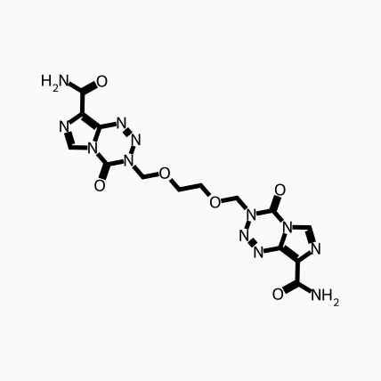 NC(=O)c1ncn2c(=O)n(COCCOCn3nnc4c(C(N)=O)ncn4c3=O)nnc12